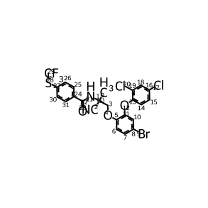 C[C@](C#N)(COc1ccc(Br)cc1Oc1ccc(Cl)cc1Cl)NC(=O)c1ccc(SC(F)(F)F)cc1